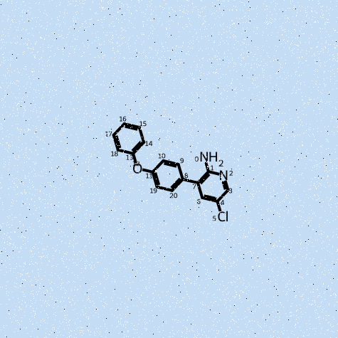 Nc1ncc(Cl)cc1-c1ccc(Oc2ccccc2)cc1